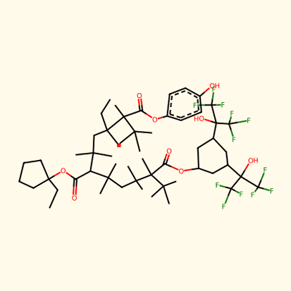 CCC1(OC(=O)C(C(C)(C)CC(C)(C)C(C)(C(=O)OC2CC(C(O)(C(F)(F)F)C(F)(F)F)CC(C(O)(C(F)(F)F)C(F)(F)F)C2)C(C)(C)C)C(C)(C)CC(C)(CC)C(C)(C(=O)Oc2ccc(O)cc2)C(C)(C)C)CCCC1